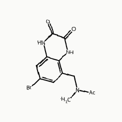 [CH2]N(Cc1cc(Br)cc2[nH]c(=O)c(=O)[nH]c12)C(C)=O